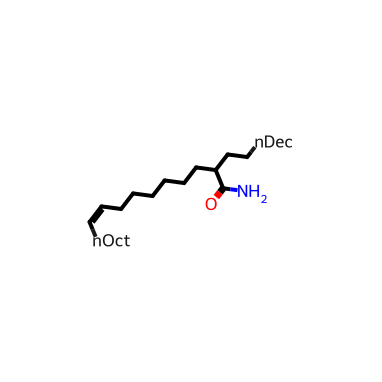 CCCCCCCC/C=C\CCCCCCC(CCCCCCCCCCCC)C(N)=O